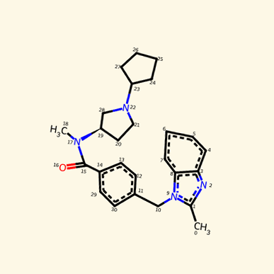 Cc1nc2ccccc2n1Cc1ccc(C(=O)N(C)[C@@H]2CCN(C3CCCC3)C2)cc1